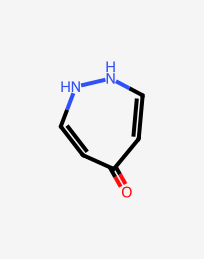 O=C1C=CNNC=C1